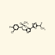 CC(F)c1nnc(-c2cnc(CN(c3ccc(F)c(Cl)c3)S(C)(=O)=O)s2)o1